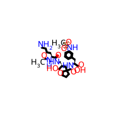 CC(=O)N[C@@H](CCCCN)C(=O)NC[C@H](CC1(C(=O)N[C@@H](Cc2cccc(NS(C)(=O)=O)c2)C(=O)O)CCCC1)C(=O)O